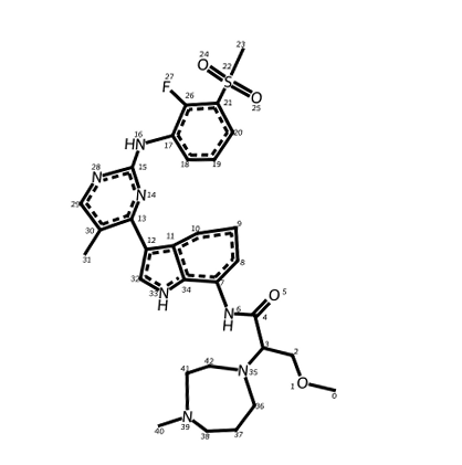 COCC(C(=O)Nc1cccc2c(-c3nc(Nc4cccc(S(C)(=O)=O)c4F)ncc3C)c[nH]c12)N1CCCN(C)CC1